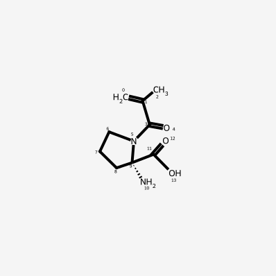 C=C(C)C(=O)N1CCC[C@]1(N)C(=O)O